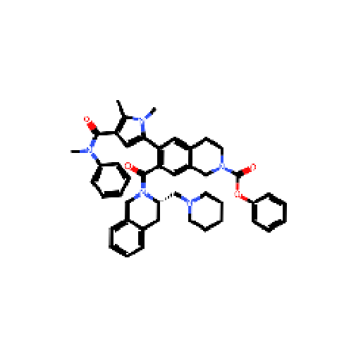 Cc1c(C(=O)N(C)c2ccccc2)cc(-c2cc3c(cc2C(=O)N2Cc4ccccc4C[C@H]2CN2CCCCC2)CN(C(=O)Oc2ccccc2)CC3)n1C